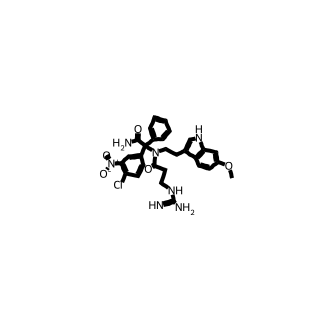 COc1ccc2c(CCN(C(=O)CCNC(=N)N)C(C(N)=O)(c3ccccc3)c3ccc(Cl)c([N+](=O)[O-])c3)c[nH]c2c1